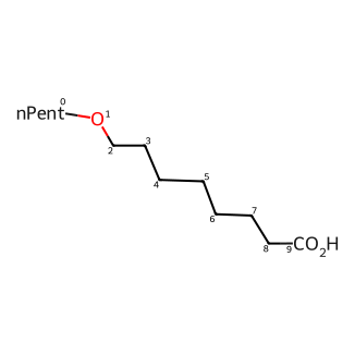 CCCCCOCCCCCCCC(=O)O